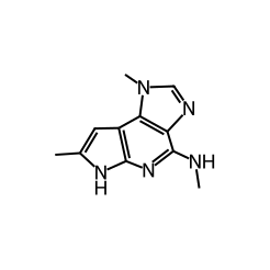 CNc1nc2[nH]c(C)cc2c2c1ncn2C